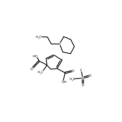 CC1(C(=O)O)C=CC=C(C(=O)O)C1.CCCN1CCCCC1.NS(=O)(=O)F